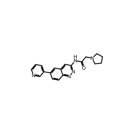 O=C(CN1CCCC1)Nc1cc2cc(-c3cccnc3)ccc2nn1